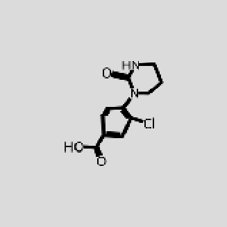 O=C(O)c1ccc(N2CCCNC2=O)c(Cl)c1